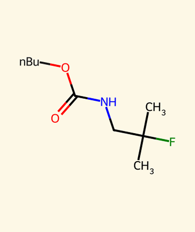 CCCCOC(=O)NCC(C)(C)F